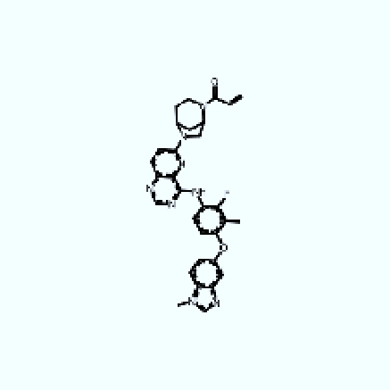 C=CC(=O)N1CCC2CC1CN2c1ccc2ncnc(Nc3ccc(Oc4ccc5c(c4)ncn5C)c(C)c3F)c2n1